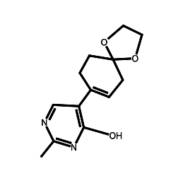 Cc1ncc(C2=CCC3(CC2)OCCO3)c(O)n1